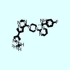 [2H]C([2H])([2H])n1cc(-c2cc3c(N4CCN(C5N=CC=CN5[C@@](C)(N)c5ccc(F)cc5)CC4)ncnn3c2)cn1